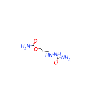 NC(=O)NNCCCOC(N)=O